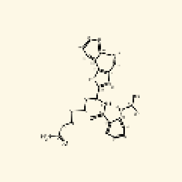 NC(=O)OCCCCC(NC(=O)c1ccccc1OC(F)F)c1nc2cnc3ccccc3c2s1